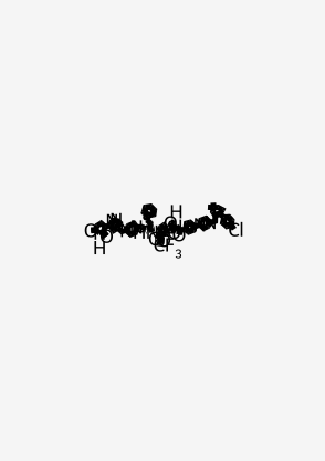 CC1(C)CCC(c2ccc(Cl)cc2)=C(CN2CCN(c3ccc(C(=O)NS(=O)(=O)c4ccc(N[C@H](CCN5CCN(Cc6cnnc(C7CCC(=O)NC7=O)c6)CC5)CSc5ccccc5)c(S(=O)(=O)C(F)(F)F)c4)cc3)CC2)C1